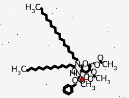 CCCCCCCCCCCCCCCCCCN(C(=O)CCCCCCCCCCCCC)[C@@H]1O[C@H](COC(C)=O)[C@H](OC(C)=O)[C@H](OC(C)=O)[C@H]1NC(=O)OCc1ccccc1